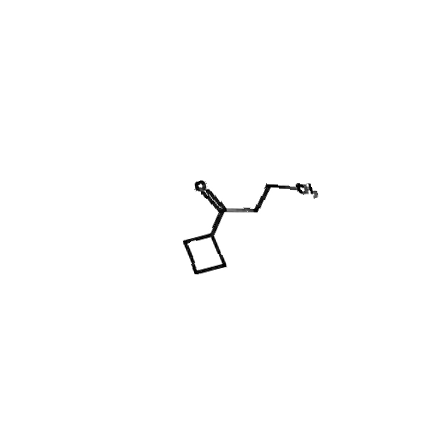 CCCC(=O)C1CCC1